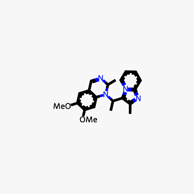 COc1cc2c(cc1OC)N(C(C)c1c(C)nc3ccccn13)C(C)N=C2